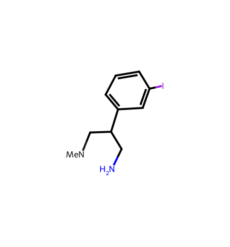 CNCC(CN)c1cccc(I)c1